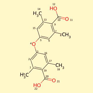 Cc1cc(Oc2cc(C)c(C(=O)O)c(C)c2)cc(C)c1C(=O)O